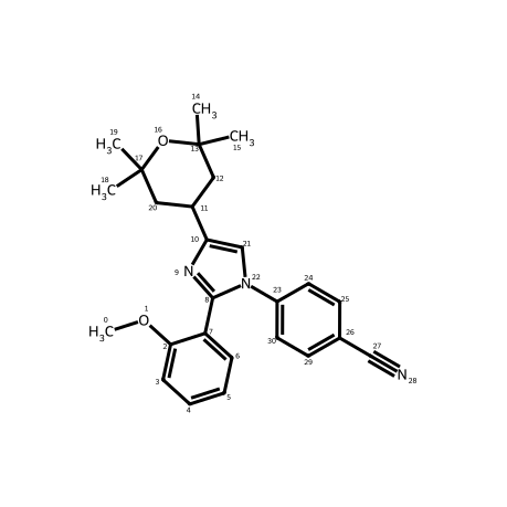 COc1ccccc1-c1nc(C2CC(C)(C)OC(C)(C)C2)cn1-c1ccc(C#N)cc1